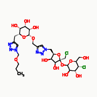 CCCOCn1cc(C[C@H]2O[C@@H](OCc3cn(C[C@H]4O[C@@](CCl)(O[C@H]5OC(CO)[C@H](Cl)[C@H](O)[C@H]5O)[C@@H](O)[C@H]4O)nn3)[C@@H](O)[C@@H](O)[C@H]2O)nn1